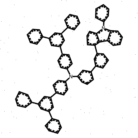 c1ccc(-c2cc(-c3ccccc3)cc(-c3ccc(N(c4ccc(-c5cc(-c6ccccc6)cc(-c6ccccc6)c5)cc4)c4cccc(-c5cccc(-c6cccc7c6c6ccccc6n7-c6ccccc6)c5)c4)cc3)c2)cc1